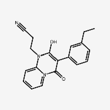 CCc1cccc(-c2c(O)n(CCC#N)c3cccc[n+]3c2=O)c1